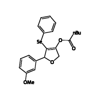 CCCCC(=O)OC1=C([Se]c2ccccc2)C(c2cccc(OC)c2)OC1